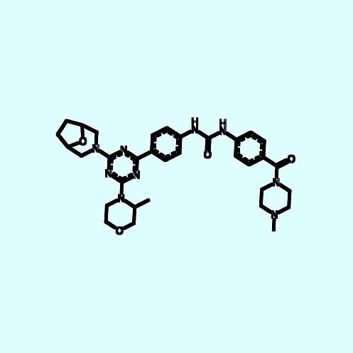 CC1COCCN1c1nc(-c2ccc(NC(=O)Nc3ccc(C(=O)N4CCN(C)CC4)cc3)cc2)nc(N2CC3CCC(C2)O3)n1